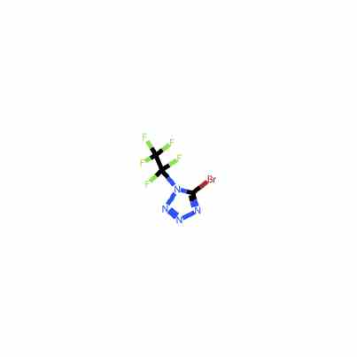 FC(F)(F)C(F)(F)n1nnnc1Br